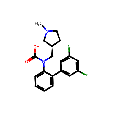 CN1CC[C@@H](CN(C(=O)O)c2ccccc2-c2cc(F)cc(Cl)c2)C1